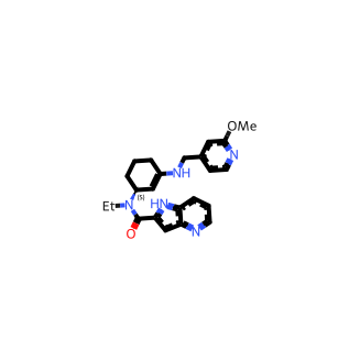 CCN(C(=O)c1cc2ncccc2[nH]1)[C@@H]1C=C(NCc2ccnc(OC)c2)CCC1